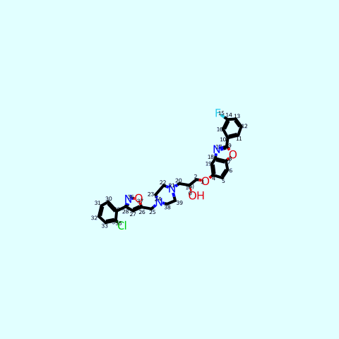 O[C@H](COc1ccc2oc(-c3cccc(F)c3)nc2c1)CN1CCN(Cc2cc(-c3ccccc3Cl)no2)CC1